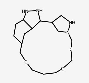 C1CCCCC2CCC3NNC(C4CNN(CCCC1)C4)C3C2